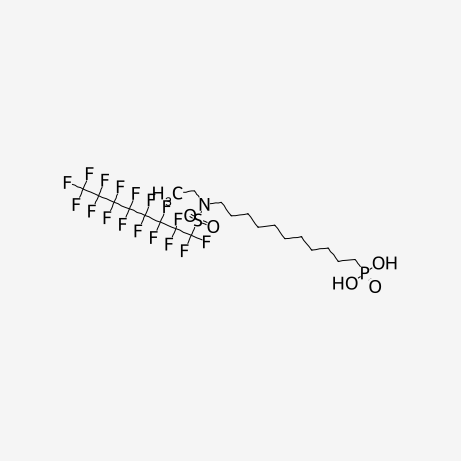 CCN(CCCCCCCCCCCP(=O)(O)O)S(=O)(=O)C(F)(F)C(F)(F)C(F)(F)C(F)(F)C(F)(F)C(F)(F)C(F)(F)C(F)(F)F